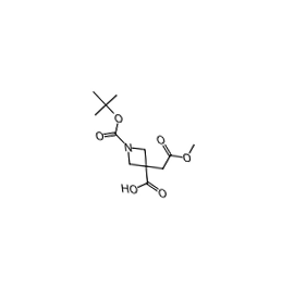 COC(=O)CC1(C(=O)O)CN(C(=O)OC(C)(C)C)C1